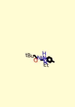 CCN1c2cc(C)ccc2NC1CNC(=O)CC(C)(C)C